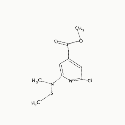 COC(=O)c1cc(Cl)nc(N(C)SC)c1